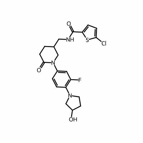 O=C(NCC1CCC(=O)N(c2ccc(N3CCC(O)C3)c(F)c2)C1)c1ccc(Cl)s1